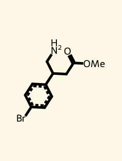 COC(=O)CC(CN)c1ccc(Br)cc1